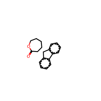 O=C1CCCCCO1.c1ccc2c(c1)Cc1ccccc1-2